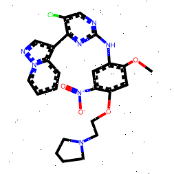 COc1cc(OCCN2CCCC2)c([N+](=O)[O-])cc1Nc1ncc(Cl)c(-c2cnn3ccccc23)n1